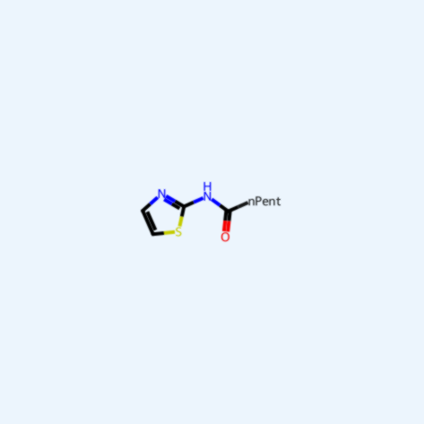 CCCCCC(=O)Nc1nccs1